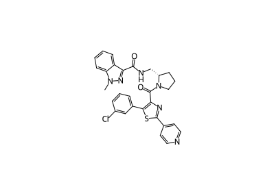 Cn1nc(C(=O)NC[C@@H]2CCCN2C(=O)c2nc(-c3ccncc3)sc2-c2cccc(Cl)c2)c2ccccc21